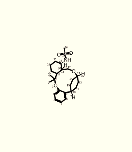 CC1(C)Oc2ccccc2[C@H]2CC[C@H](CC2)OC[C@@H]2C1CCC[C@@H]2NS(C)(=O)=O